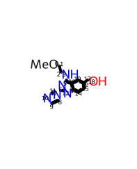 COCCNc1nc(-n2ccnc2)nc2ccc(CO)cc12